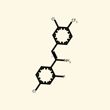 N/C(=C\c1ccc(C(F)(F)F)c(Cl)c1)c1ccc(Cl)cc1F